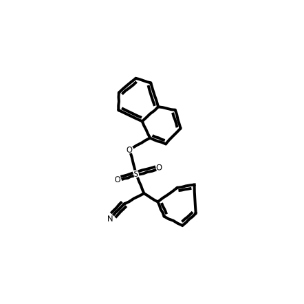 N#CC(c1ccccc1)S(=O)(=O)Oc1cccc2ccccc12